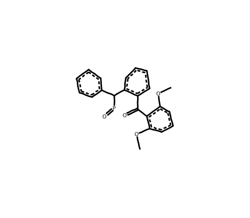 COc1cccc(OC)c1C(=O)c1ccccc1C(P=O)c1ccccc1